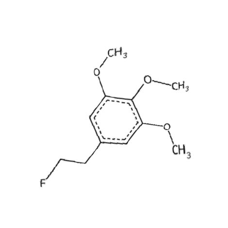 COc1cc(CCF)cc(OC)c1OC